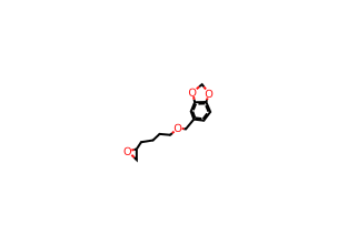 c1cc2c(cc1COCCCCC1CO1)OCO2